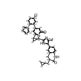 O=C1Nc2ccc(-c3[nH]c(C4C5CC5c5cc(-c6cc(Cl)ccc6-n6cnnn6)cc(=O)n54)nc3F)cc2CC1CC1CC1